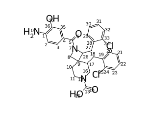 Nc1ccc(C(=O)N2CC3(CCN(C(=O)O)CC3Cc3ccccc3Cl)C2Cc2ccccc2Cl)cc1O